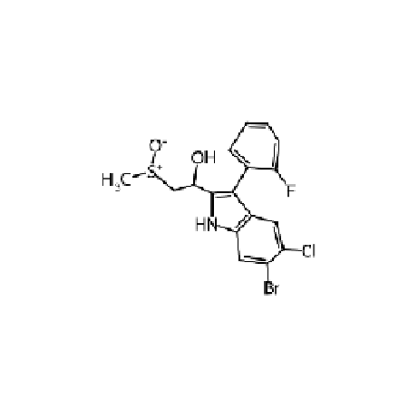 C[S+]([O-])CC(O)c1[nH]c2cc(Br)c(Cl)cc2c1-c1ccccc1F